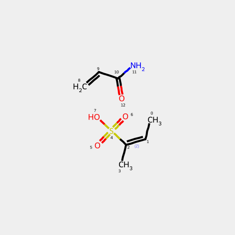 C/C=C(/C)S(=O)(=O)O.C=CC(N)=O